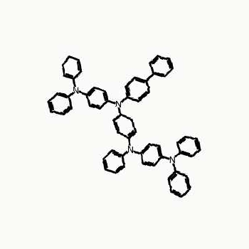 C1=CC(N(c2ccccc2)c2ccc(N(c3ccc(-c4ccccc4)cc3)C3C=CC(N(c4ccccc4)c4ccc(N(c5ccccc5)c5ccccc5)cc4)=CC3)cc2)=CCC1